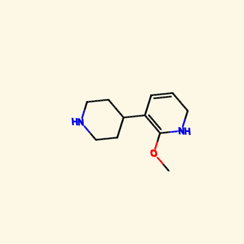 COC1=C(C2CCNCC2)C=CCN1